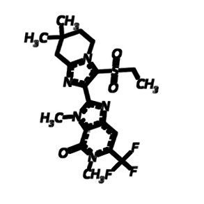 CCS(=O)(=O)c1c(-c2nc3cc(C(F)(F)F)n(C)c(=O)c3n2C)nc2n1CCC(C)(C)C2